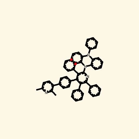 Cc1ccc(-c2ccc(-c3c(-c4ccccc4)c(-c4ccccc4)nc(N4c5ccccc5N(c5ccccc5)c5ccccc54)c3-c3ccccc3)cc2)c(C)n1